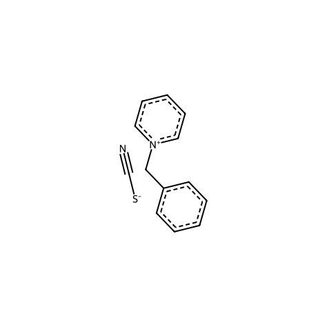 N#C[S-].c1ccc(C[n+]2ccccc2)cc1